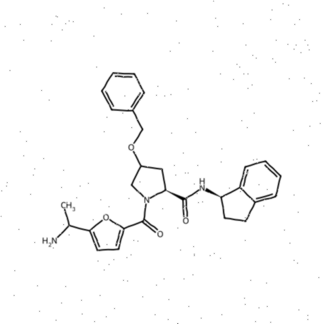 CC(N)c1ccc(C(=O)N2CC(OCc3ccccc3)C[C@H]2C(=O)N[C@@H]2CCc3ccccc32)o1